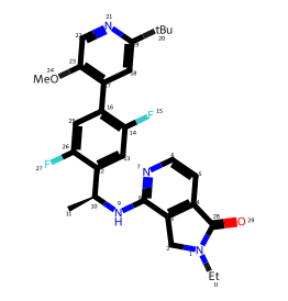 CCN1Cc2c(ccnc2N[C@@H](C)c2cc(F)c(-c3cc(C(C)(C)C)ncc3OC)cc2F)C1=O